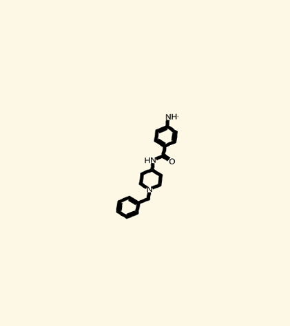 [NH]c1ccc(C(=O)NC2CCN(Cc3ccccc3)CC2)cc1